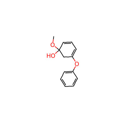 COC1(O)C=CC=C(Oc2ccccc2)C1